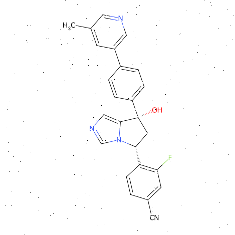 Cc1cncc(-c2ccc([C@@]3(O)C[C@H](c4ccc(C#N)cc4F)n4cncc43)cc2)c1